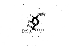 CCCOc1ccc(C(CC)(C(=O)O)C(=O)OCC)c(F)c1F